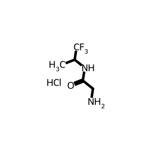 CC(NC(=O)CN)C(F)(F)F.Cl